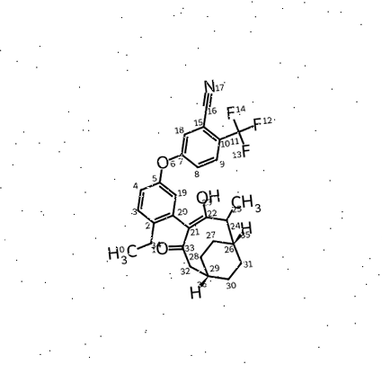 CCc1ccc(Oc2ccc(C(F)(F)F)c(C#N)c2)cc1/C1=C(\O)C(C)[C@H]2CC[C@H](CC2)CC1=O